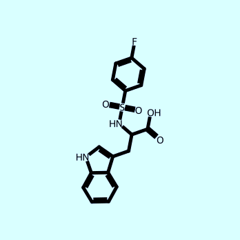 O=C(O)C(Cc1c[nH]c2ccccc12)NS(=O)(=O)c1ccc(F)cc1